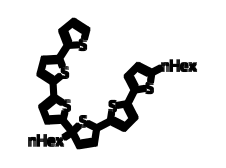 CCCCCCc1ccc(-c2ccc(C3C=CC(CCCCCC)(c4ccc(-c5ccc(-c6cccs6)s5)s4)S3)s2)s1